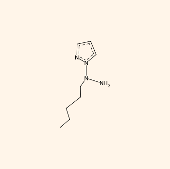 CCCCCN(N)n1cccn1